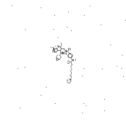 CCc1nc2c(cnn2CC)c(NC2CCOCC2)c1CNC(=O)c1ccc(NC(=O)CCCCCCCN2CCCC2)cc1